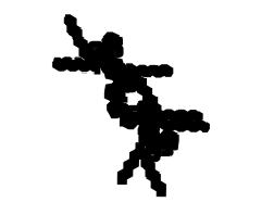 CCCCCCCCC(CCCCCC)CN1C(=O)C(c2cccs2)=c2cc3c(cc21)=C(c1ccc(-c2ccc(-c4ccc(C5=c6cc7c(cc6N(CC(CCCCCC)CCCCCCCC)C5=O)=C(c5cccs5)C(=O)N7CC(CCCCCC)CCCCCCCC)s4)s2)s1)C(=O)N3CC(CCCCCC)CCCCCCCC